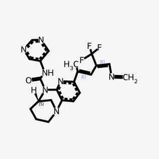 C=N/C=C(\C=C(/C)c1ccc2c(n1)N(C(=O)Nc1cncnc1)[C@H]1CCCN2C1)C(F)(F)F